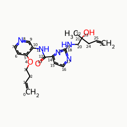 C=CCCOc1ccncc1NC(=O)c1ccnc(NCC(C)(O)CC=C)n1